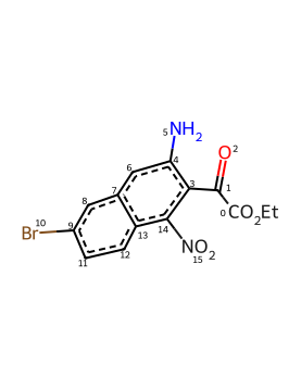 CCOC(=O)C(=O)c1c(N)cc2cc(Br)ccc2c1[N+](=O)[O-]